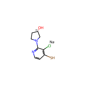 O[C@H]1CCN(c2nccc(S)c2Cl)C1.[Na]